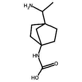 CC(N)C12CCC(NC(=O)O)(CC1)C2